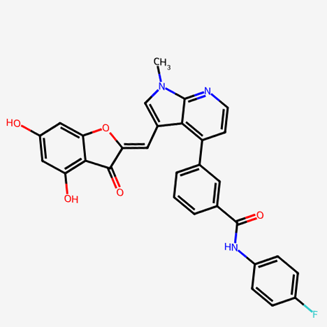 Cn1cc(/C=C2\Oc3cc(O)cc(O)c3C2=O)c2c(-c3cccc(C(=O)Nc4ccc(F)cc4)c3)ccnc21